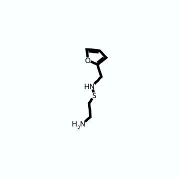 NCCSNCc1ccco1